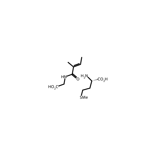 C/C=C(\C)C(=O)NCC(=O)O.CSCC[C@H](N)C(=O)O